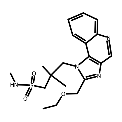 CCOCc1nc2cnc3ccccc3c2n1CC(C)(C)CS(=O)(=O)NC